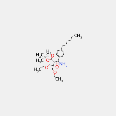 CCCCCCc1ccc(C(N)C(C(=O)OC(C)(C)C)C(O)(COCC)COCC)cc1